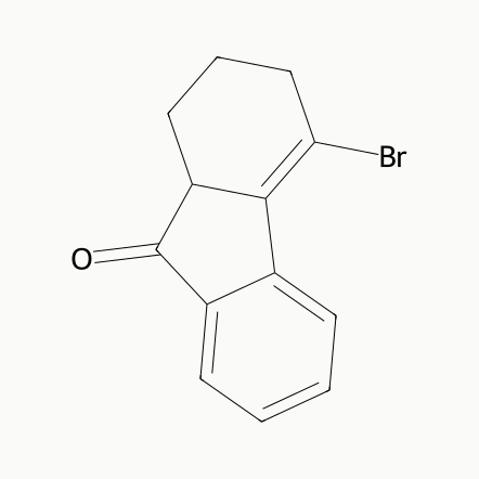 O=C1c2ccccc2C2=C(Br)CCCC12